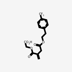 C=C(CC(=O)OCCc1ccc(C(F)(F)F)cc1)C(=O)OCC(=O)O